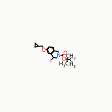 CC(C)(C)OC(=O)N1Cc2ccc(OCC3CC3)cc2C(I)C1